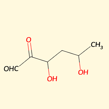 CC(O)CC(O)C(=O)C=O